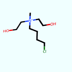 C[N+](CCO)(CCO)CCCCCl